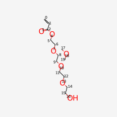 C=CC(=O)OCCOCCOCCOCCO.COC